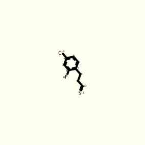 Fc1cc(Cl)ccc1CC[C]=S